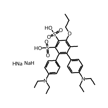 CCCOc1c(C)c(-c2ccc(N(CC)CC)cc2)c(-c2ccc(N(CC)CC)cc2)c(S(=O)(=O)O)c1S(=O)(=O)O.[NaH].[NaH]